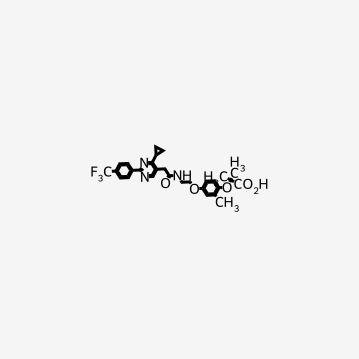 Cc1cc(OCCNC(=O)Cc2cnc(-c3ccc(C(F)(F)F)cc3)nc2C2CC2)ccc1OC(C)(C)C(=O)O